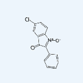 O=C1C(c2ccccc2)=[N+]([O-])c2ccc(Cl)cc21